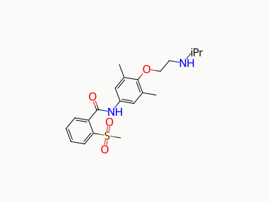 Cc1cc(NC(=O)c2ccccc2S(C)(=O)=O)cc(C)c1OCCNC(C)C